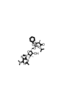 Cc1nc(N(C)C)c2ncn([C@@H]3O[C@H](COP(=S)(N[C@@H](C)C(=O)OC(C)C)Oc4ccccc4)[C@@H](O)[C@@]3(C)F)c2n1